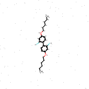 CCCCCCOc1ccc(-c2ccc(OCCCCCC)cc2F)c(F)c1